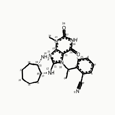 CC(c1ccccc1C#N)n1c(N[C@@H]2CCCCC[C@@H]2N)nc2c1c(=O)[nH]c(=O)n2C